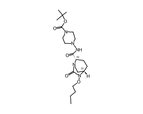 CCCCON1C(=O)N2C[C@@H]1CC[C@H]2C(=O)NN1CCN(C(=O)OC(C)(C)C)CC1